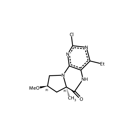 CCc1nc(Cl)nc2c1NC(=O)[C@@]1(C)C[C@@H](OC)CN21